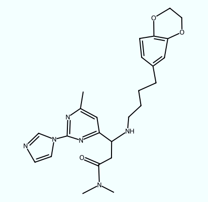 Cc1cc(C(CC(=O)N(C)C)NCCCCc2ccc3c(c2)OCCO3)nc(-n2ccnc2)n1